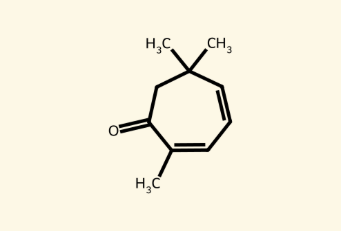 CC1=CC=CC(C)(C)CC1=O